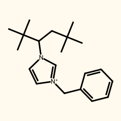 CC(C)(C)CC(n1cc[n+](Cc2ccccc2)c1)C(C)(C)C